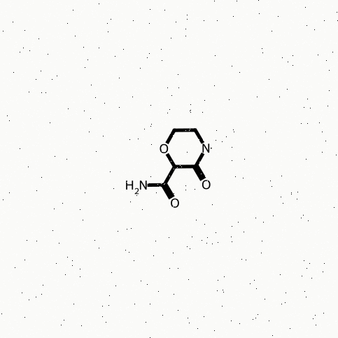 NC(=O)C1OCC[N]C1=O